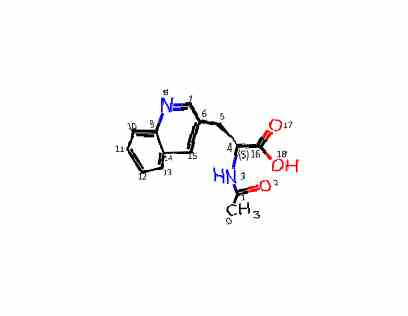 CC(=O)N[C@@H](Cc1cnc2ccccc2c1)C(=O)O